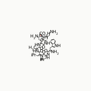 CC(C)C[C@H](NC(=O)[C@H](CC(C)C)NC(=O)[C@@H](N)Cc1c[nH]c2ccccc12)C(=O)N[C@@H](C)C(=O)N[C@@H](CCC(N)=O)C(=O)N[C@@H](CCCCN)C(=O)NCC(=O)O